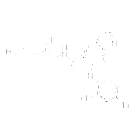 O=C(NOC(O)CCO)c1cc2scnc2c(F)c1Nc1ccc(Br)cc1Cl